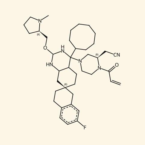 C=CC(=O)N1CCN(C2(C3CCCCCCC3)NC(OC[C@H]3CCCN3C)NC3C[C@@]4(CCc5ccc(F)cc5C4)CCC32)C[C@H]1CC#N